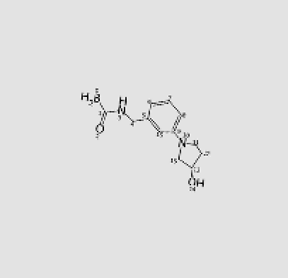 BC(=O)NCc1cccc(N2CC[C@@H](O)C2)c1